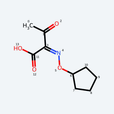 CC(=O)C(=NOC1CCCC1)C(=O)O